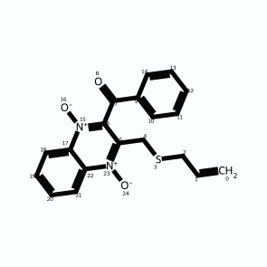 C=CCSCc1c(C(=O)c2ccccc2)[n+]([O-])c2ccccc2[n+]1[O-]